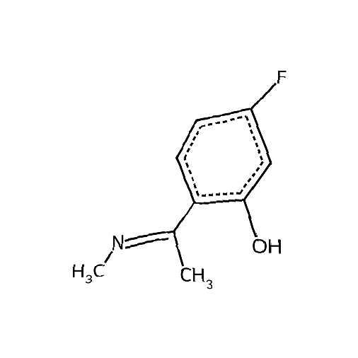 C/N=C(\C)c1ccc(F)cc1O